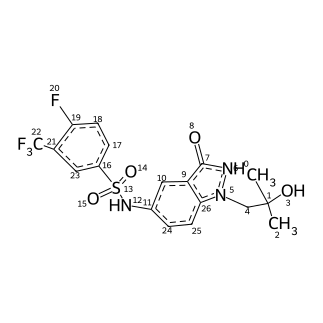 CC(C)(O)Cn1[nH]c(=O)c2cc(NS(=O)(=O)c3ccc(F)c(C(F)(F)F)c3)ccc21